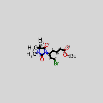 CN1C(=O)N(C(CCBr)CCCC(=O)OC(C)(C)C)C(=O)C1(C)C